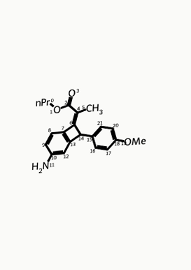 CCCOC(=O)C(C)=C1c2ccc(N)cc2C1c1ccc(OC)cc1